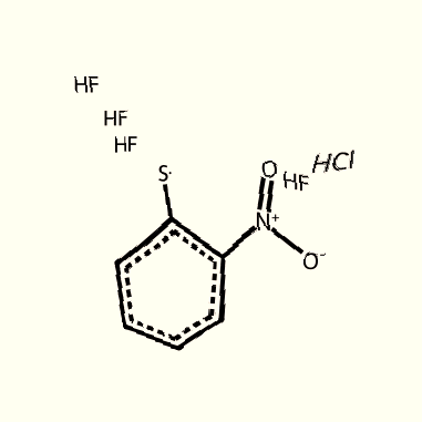 Cl.F.F.F.F.O=[N+]([O-])c1ccccc1[S]